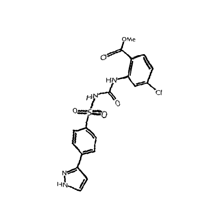 COC(=O)c1ccc(Cl)cc1NC(=O)NS(=O)(=O)c1ccc(-c2cc[nH]n2)cc1